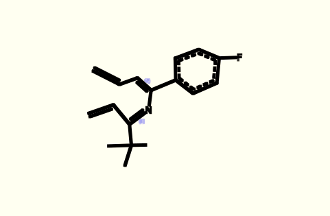 C=C/C=C(\N=C(/C=C)C(C)(C)C)c1ccc(F)cc1